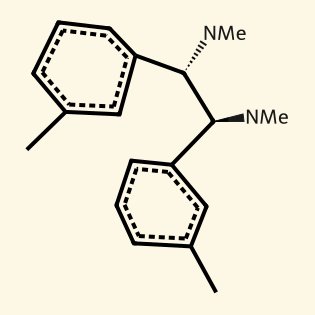 CN[C@@H](c1cccc(C)c1)[C@@H](NC)c1cccc(C)c1